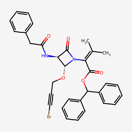 CC(C)=C(C(=O)OC(c1ccccc1)c1ccccc1)N1C(=O)[C@H](NC(=O)Cc2ccccc2)[C@H]1OCC#CBr